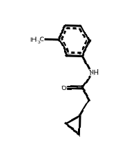 Cc1cccc(NC(=O)CC2CC2)c1